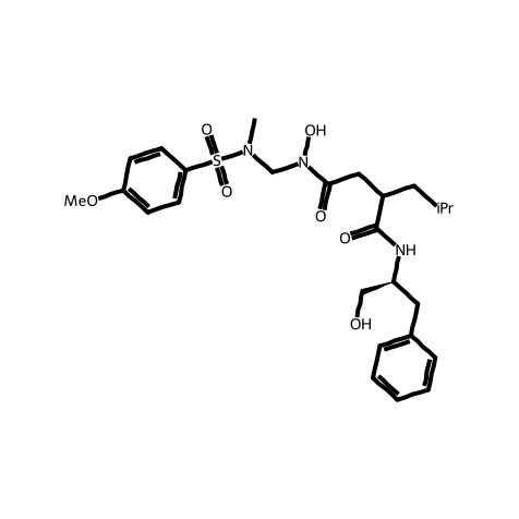 COc1ccc(S(=O)(=O)N(C)CN(O)C(=O)CC(CC(C)C)C(=O)N[C@H](CO)Cc2ccccc2)cc1